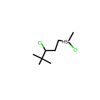 C[SiH](Cl)CCC(Cl)C(C)(C)C